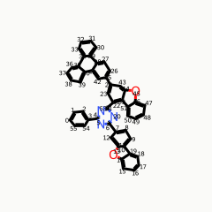 c1ccc(-c2nc(-c3ccc4c(c3)oc3ccccc34)nc(-c3cc(-c4ccc5c6ccccc6c6ccccc6c5c4)cc4oc5ccccc5c34)n2)cc1